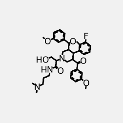 COc1cccc(C(=O)C2CN(C(CO)C(=O)NCCCN(C)C)CC(C(=O)c3cccc(OC)c3)C2c2cccc(F)c2C)c1